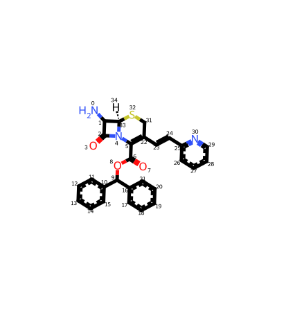 NC1C(=O)N2C(C(=O)OC(c3ccccc3)c3ccccc3)=C(/C=C/c3ccccn3)CS[C@H]12